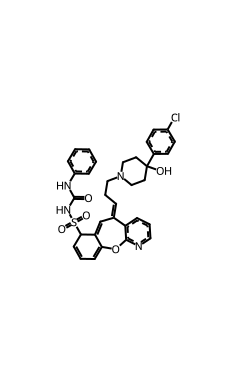 O=C(Nc1ccccc1)NS(=O)(=O)C1C=CC=C2Oc3ncccc3C(=CCCN3CCC(O)(c4ccc(Cl)cc4)CC3)C=C21